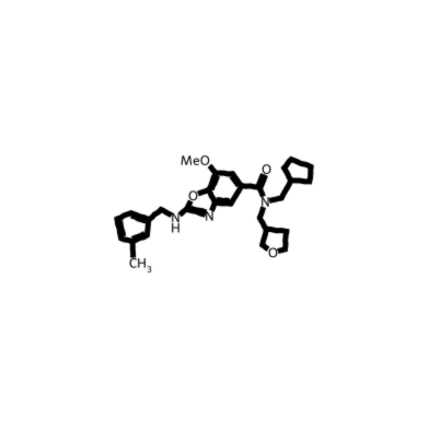 COc1cc(C(=O)N(CC2CCCC2)CC2CCOC2)cc2nc(NCc3cccc(C)c3)oc12